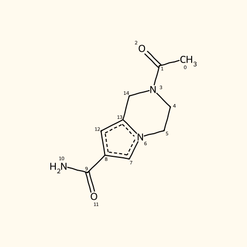 CC(=O)N1CCn2cc(C(N)=O)cc2C1